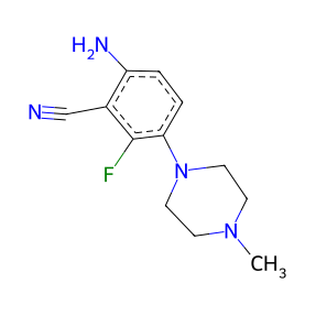 CN1CCN(c2ccc(N)c(C#N)c2F)CC1